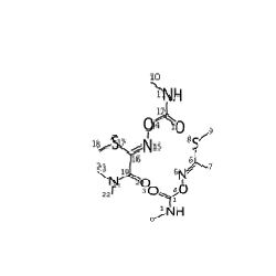 CNC(=O)O/N=C(\C)SC.CNC(=O)ON=C(SC)C(=O)N(C)C